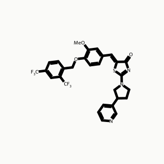 COc1cc(/C=C2\SC(N3CCC(c4cccnc4)C3)=NC2=O)ccc1OCc1ccc(C(F)(F)F)cc1C(F)(F)F